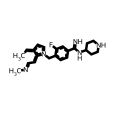 C/C=c1/ccn(Cc2ccc(C(=N)NC3CCNCC3)cc2F)/c1=C/C=N/C